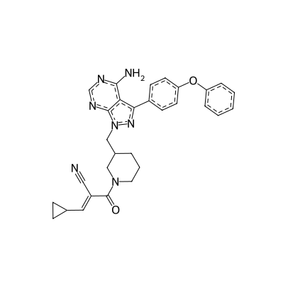 N#CC(=CC1CC1)C(=O)N1CCCC(Cn2nc(-c3ccc(Oc4ccccc4)cc3)c3c(N)ncnc32)C1